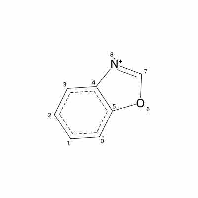 [c]1cccc2c1OC=[N+]2